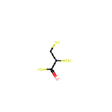 O=C(S)C(S)CS